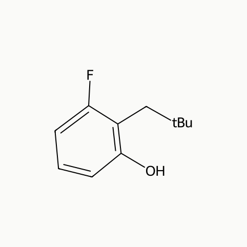 CC(C)(C)Cc1c(O)cccc1F